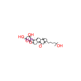 CC(C)(O)CCCCC1CC[C@@]2(C)C3CC=C4C(CC[C@H](O[C@H]5C[C@@H](O)C[C@@H](CO)O5)[C@@]4(C)P)[C@]3(C)C(=O)C[C@]12C